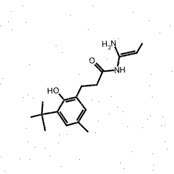 CC=C(N)NC(=O)CCc1cc(C)cc(C(C)(C)C)c1O